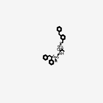 CC(S[PH](=S)SCc1cccc(Cc2ccccc2)c1)C(=O)NCS[PH](=S)SC(Cc1ccccc1)c1ccccc1